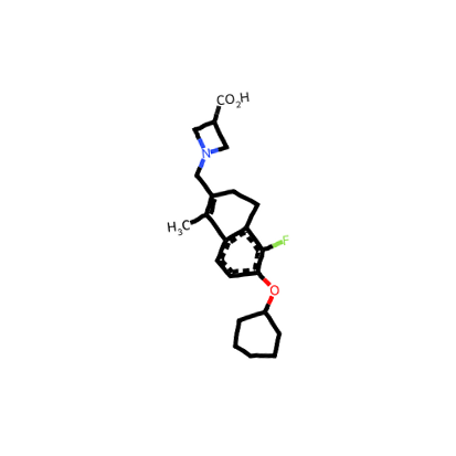 CC1=C(CN2CC(C(=O)O)C2)CCc2c1ccc(OC1CCCCC1)c2F